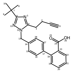 C#CCCc1nc(C(C)(C)C)nn1Cc1ccc(-c2ccccc2C(=O)O)cc1